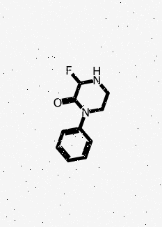 O=C1C(F)NCCN1c1ccccc1